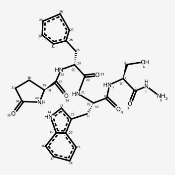 NNC(=O)[C@H](CO)NC(=O)[C@H](Cc1c[nH]c2ccccc12)NC(=O)[C@@H](Cc1ccccc1)NC(=O)[C@@H]1CCC(=O)N1